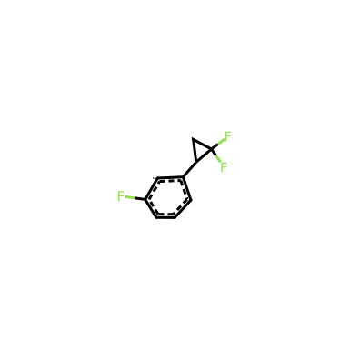 Fc1[c]c(C2CC2(F)F)ccc1